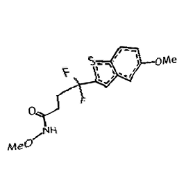 CONC(=O)CCC(F)(F)c1cc2cc(OC)ccc2s1